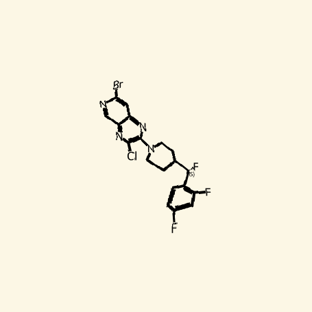 Fc1ccc([C@@H](F)C2CCN(c3nc4cc(Br)ncc4nc3Cl)CC2)c(F)c1